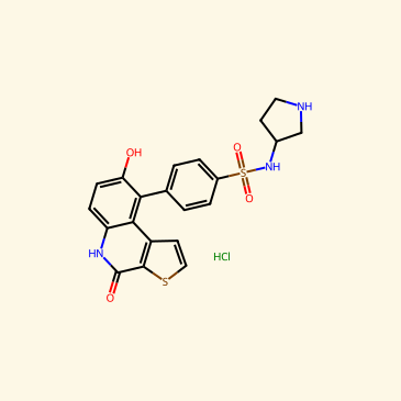 Cl.O=c1[nH]c2ccc(O)c(-c3ccc(S(=O)(=O)NC4CCNC4)cc3)c2c2ccsc12